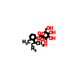 CC(C)C1C(C)CCCC1OC(=O)[C@@]1(O)O[C@H](CO)[C@@H](O)[C@H](O)[C@H]1O